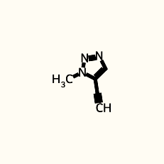 C#Cc1cnnn1C